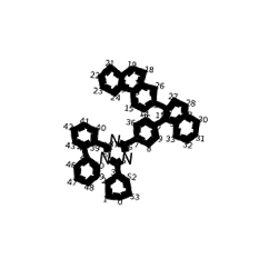 c1ccc(-c2nc(-c3ccc(-c4c(-c5ccc6c(ccc7ccccc76)c5)ccc5ccccc45)cc3)nc(-c3ccccc3-c3ccccc3)n2)cc1